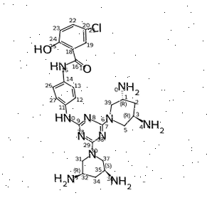 N[C@@H]1C[C@@H](N)CN(c2nc(Nc3ccc(NC(=O)c4cc(Cl)ccc4O)cc3)nc(N3C[C@H](N)C[C@H](N)C3)n2)C1